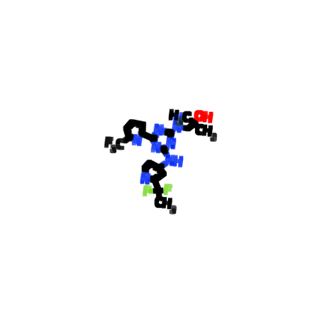 CC(C)(O)CNc1nc(Nc2ccnc(C(C)(F)F)c2)nc(-c2cccc(C(F)(F)F)n2)n1